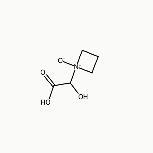 O=C(O)C(O)[N+]1([O-])CCC1